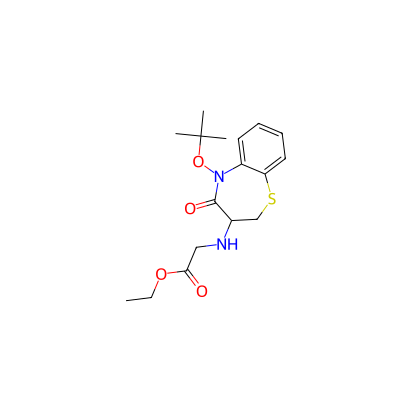 CCOC(=O)CNC1CSc2ccccc2N(OC(C)(C)C)C1=O